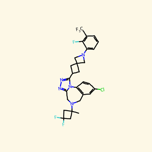 CC1(N2Cc3cc(Cl)ccc3-n3c(nnc3C3CC4(C3)CN(c3cccc(C(F)(F)F)c3F)C4)C2)CC(F)(F)C1